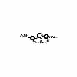 CCCCCOc1cc(N2CCCN(Cc3ccc(CNC(C)=O)cc3O)C2=O)ccc1OC